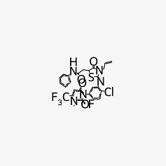 C=CCN1C(=O)C(CC(=O)Nc2ccccc2)S/C1=N\c1cc(-n2c(=O)cc(C(F)(F)F)n(C)c2=O)c(F)cc1Cl